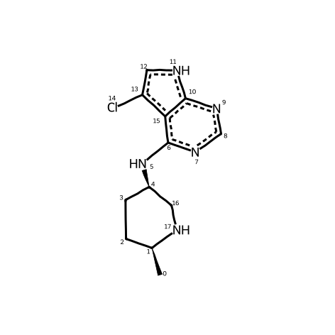 C[C@H]1CC[C@@H](Nc2ncnc3[nH]cc(Cl)c23)CN1